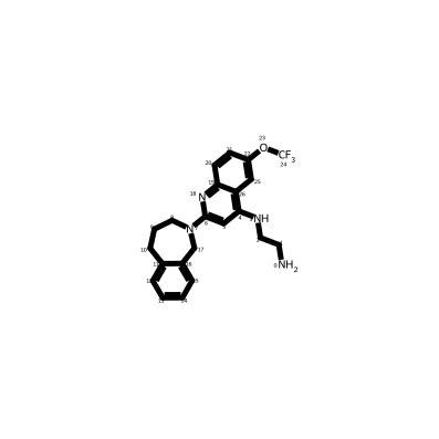 NCCNc1cc(N2CCCc3ccccc3C2)nc2ccc(OC(F)(F)F)cc12